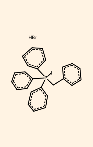 Br.IP(Cc1ccccc1)(c1ccccc1)(c1ccccc1)c1ccccc1